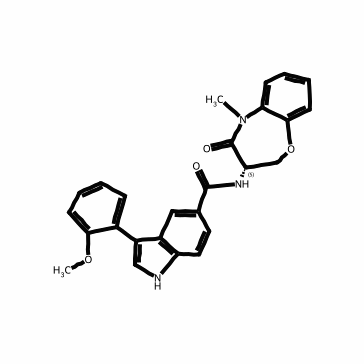 COc1ccccc1-c1c[nH]c2ccc(C(=O)N[C@H]3COc4ccccc4N(C)C3=O)cc12